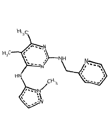 Cc1nc(NCc2ccccn2)nc(Nc2ccnn2C)c1C